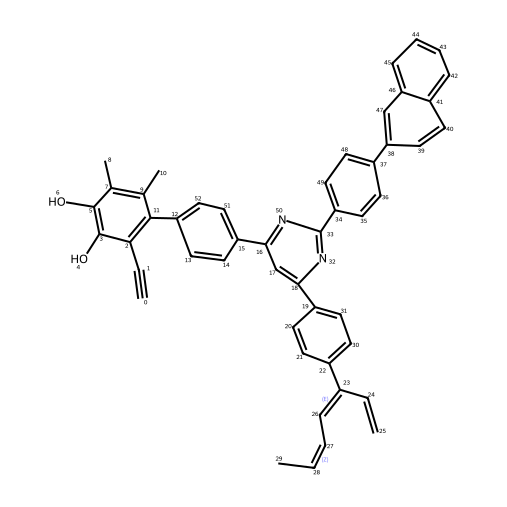 C#Cc1c(O)c(O)c(C)c(C)c1-c1ccc(-c2cc(-c3ccc(/C(C=C)=C/C=C\C)cc3)nc(-c3ccc(-c4ccc5ccccc5c4)cc3)n2)cc1